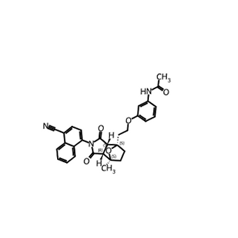 CC(=O)Nc1cccc(OCC[C@]23CC[C@](C)(O2)[C@@H]2C(=O)N(c4ccc(C#N)c5ccccc45)C(=O)[C@@H]23)c1